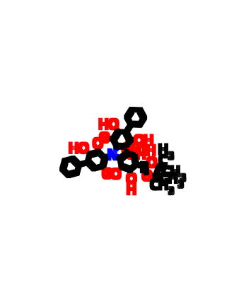 CC1(C)OB(c2c(O)c(O)c3c(ooc4cc(-c5ccccc5)c(O)c5ooc6c(O)c(-c7ccccc7)c(O)c(O)c6n3c45)c2O)OC1(C)C